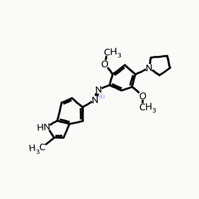 COc1cc(N2CCCC2)c(OC)cc1/N=N/c1ccc2[nH]c(C)cc2c1